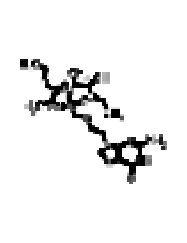 CCOC(=O)C(C)NP(=O)(COCCn1cnc2c(=O)[nH]c(N)nc21)NC(C)C(O)OCC